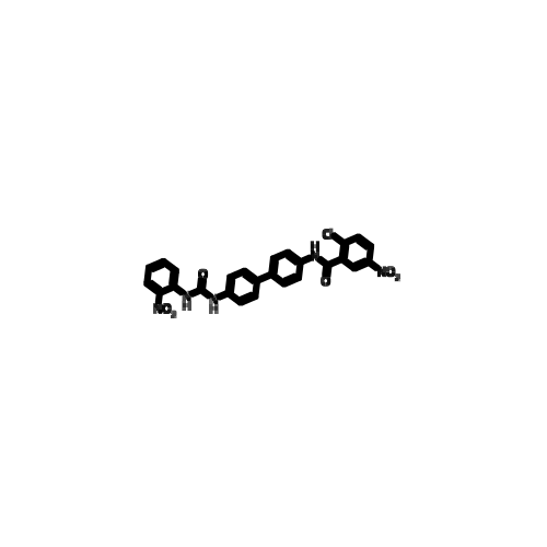 O=C(Nc1ccc(-c2ccc(NC(=O)c3cc([N+](=O)[O-])ccc3Cl)cc2)cc1)Nc1ccccc1[N+](=O)[O-]